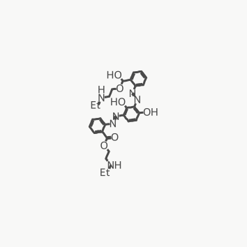 CCNCCOC(=O)c1ccccc1/N=N/c1ccc(O)c(/N=N/c2ccccc2C(O)OCCNCC)c1O